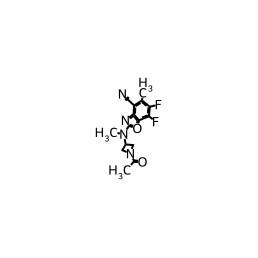 CC(=O)N1CC(N(C)c2nc3c(C#N)c(C)c(F)c(F)c3o2)C1